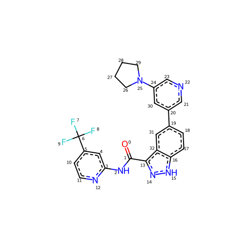 O=C(Nc1cc(C(F)(F)F)ccn1)c1n[nH]c2ccc(-c3cncc(N4CCCC4)c3)cc12